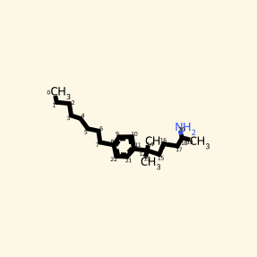 CCCCCCCCc1ccc(C(C)(C)CCCC(C)N)cc1